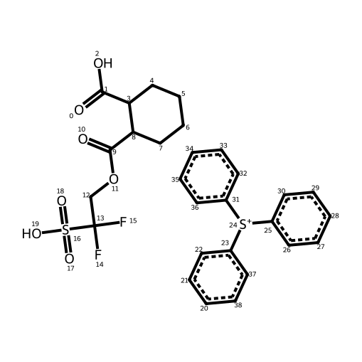 O=C(O)C1CCCCC1C(=O)OCC(F)(F)S(=O)(=O)O.c1ccc([S+](c2ccccc2)c2ccccc2)cc1